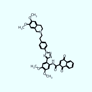 COc1cc2c(cc1OC)CN(CCc1ccc(-n3nnc(-c4cc(OC)c(OC)cc4NC(=O)C4=CC(=O)c5ccccc5C4=O)n3)cc1)CC2